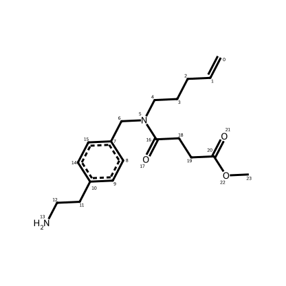 C=CCCCN(Cc1ccc(CCN)cc1)C(=O)CCC(=O)OC